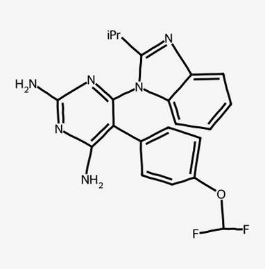 CC(C)c1nc2ccccc2n1-c1nc(N)nc(N)c1-c1ccc(OC(F)F)cc1